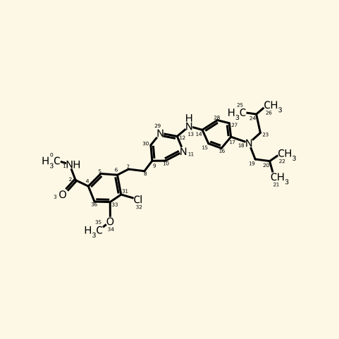 CNC(=O)c1cc(CCc2cnc(Nc3ccc(N(CC(C)C)CC(C)C)cc3)nc2)c(Cl)c(OC)c1